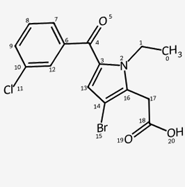 CCn1c(C(=O)c2cccc(Cl)c2)cc(Br)c1CC(=O)O